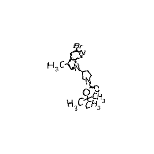 Cc1cn(C2CCN(C(=O)OC(C)(C)C)C2)c2cnc(Br)cc12